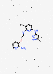 [C-]#[N+]c1ccc(Nc2cc(C)[nH]n2)nc1NCCOc1cccnc1N